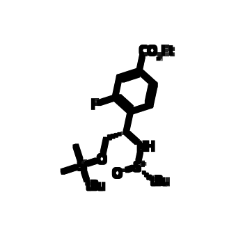 CCOC(=O)c1ccc([C@@H](CO[Si](C)(C)C(C)(C)C)N[S@@+]([O-])C(C)(C)C)c(F)c1